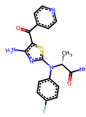 C[C@H](C(N)=O)N(c1ccc(F)cc1)c1nc(N)c(C(=O)c2ccncc2)s1